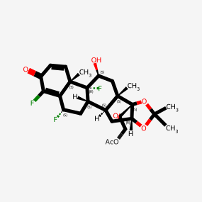 CC(=O)OCC(=O)[C@@]12OC(C)(C)O[C@@H]1C[C@H]1[C@@H]3C[C@H](F)C4=C(F)C(=O)C=C[C@]4(C)[C@@]3(F)[C@@H](O)C[C@@]12C